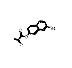 CC(=O)C(=O)Oc1ccc2ccc(O)cc2c1